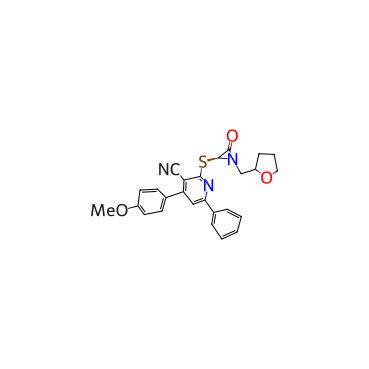 COc1ccc(-c2cc(-c3ccccc3)nc(S[C@H]3C(=O)N3CC3CCCO3)c2C#N)cc1